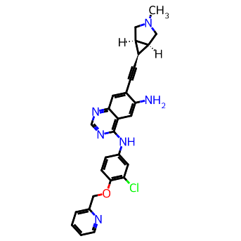 CN1C[C@@H]2[C@H](C#Cc3cc4ncnc(Nc5ccc(OCc6ccccn6)c(Cl)c5)c4cc3N)[C@@H]2C1